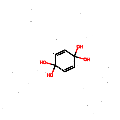 OC1(O)C=CC(O)(O)C=C1